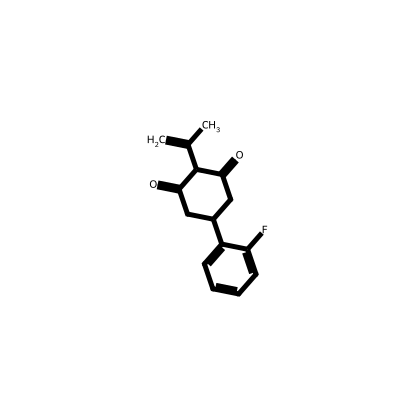 C=C(C)C1C(=O)CC(c2ccccc2F)CC1=O